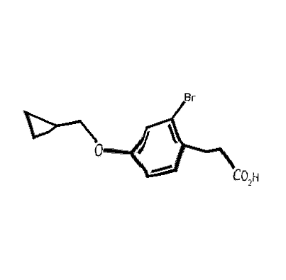 O=C(O)Cc1ccc(OCC2CC2)cc1Br